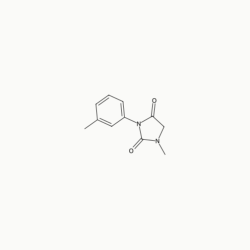 Cc1cccc(N2C(=O)CN(C)C2=O)c1